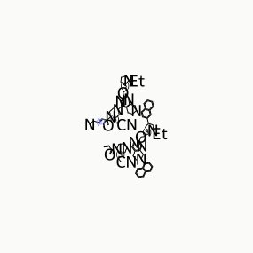 C=CC(=O)N1CCN(c2nc(OC[C@@H]3CC(c4cc(N5CCc6c(nc(OC[C@@H]7CCCN7CC)nc6N6CCN(C(=O)/C=C/CN(C)C)[C@@H](CC#N)C6)C5)c5ccccc5c4)CN3CC)nc3c2CCN(c2cccc4ccccc24)C3)C[C@@H]1CC#N